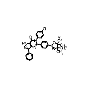 CC1(C)OB(c2ccc(-c3nc4c(-c5ccccc5)n[nH]c4c(=O)n3-c3ccc(Cl)cc3)cc2)OC1(C)C